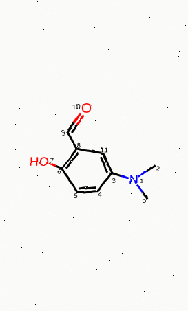 CN(C)c1ccc(O)c(C=O)c1